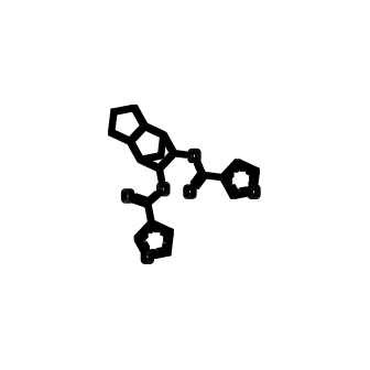 O=C(OC1C2CC(C3CCCC32)C1OC(=O)c1ccoc1)c1ccoc1